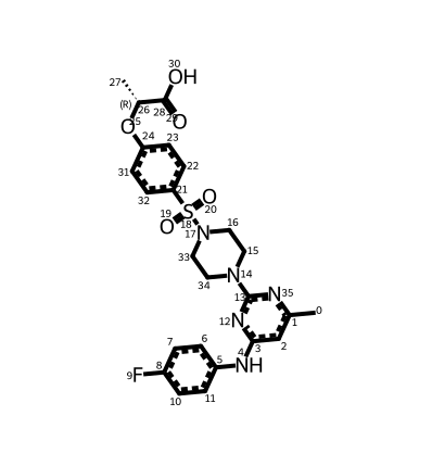 Cc1cc(Nc2ccc(F)cc2)nc(N2CCN(S(=O)(=O)c3ccc(O[C@H](C)C(=O)O)cc3)CC2)n1